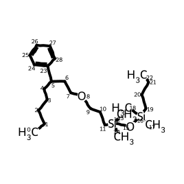 CCCCCC(CCOCCC[Si](C)(C)O[Si](C)(C)CCCC)c1ccccc1